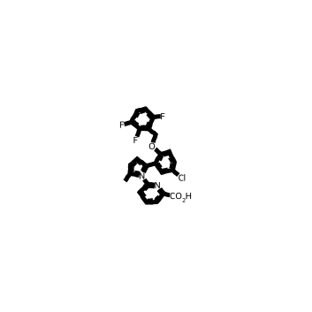 Cc1ccc(-c2cc(Cl)ccc2OCc2c(F)ccc(F)c2F)n1-c1cccc(C(=O)O)n1